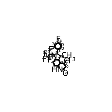 CC1c2c(ccc3[nH]c(=O)cc(Cl)c23)N(CC(F)(F)F)C1c1ccc(F)cc1F